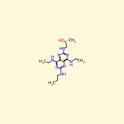 CCCNc1nc(NCC)c2nc(NC[C@@H](C)O)nc(NCC)c2n1